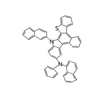 c1ccc(N(c2ccc3c(c2)c2c4ccccc4c4c5ccccc5sc4c2n3-c2ccc3ccccc3c2)c2cccc3ccccc23)cc1